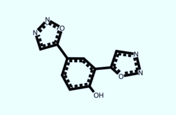 Oc1ccc(-c2cnno2)cc1-c1cnno1